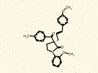 COc1ccc(/C=C/C[C@@]2(C(=O)c3ccc(C)cc3)CCN(c3ccccc3OC)C2=O)cc1